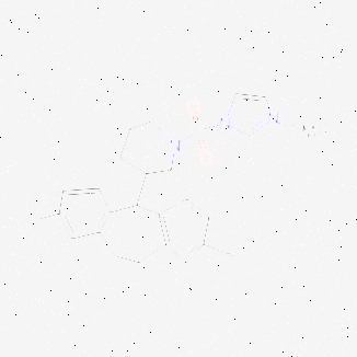 CO[n+]1ccn(S(=O)(=O)N2CCCC(C3c4ccc(F)cc4CCc4cc(F)ccc43)C2)c1